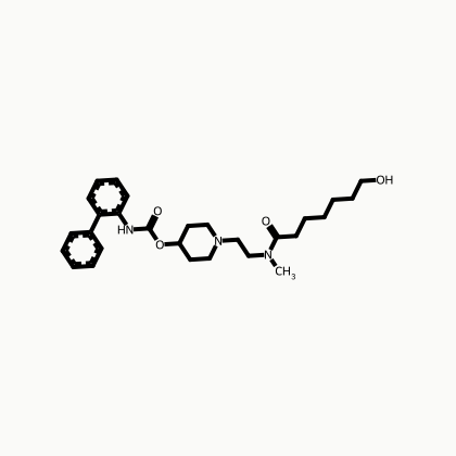 CN(CCN1CCC(OC(=O)Nc2ccccc2-c2ccccc2)CC1)C(=O)CCCCCCO